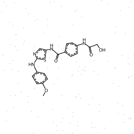 COc1ccc(Nc2ncc(NC(=O)c3ccc(NC(=O)CO)cc3)s2)cc1